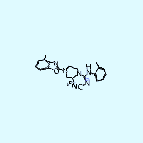 Cc1ccccc1N/C(=N/C#N)N1CCN(c2nc3c(C)cccc3o2)CC1C(C)C